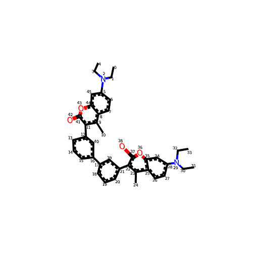 CCN(CC)c1ccc2c(C)c(-c3cccc(-c4cccc(-c5c(C)c6ccc(N(CC)CC)cc6oc5=O)c4)c3)c(=O)oc2c1